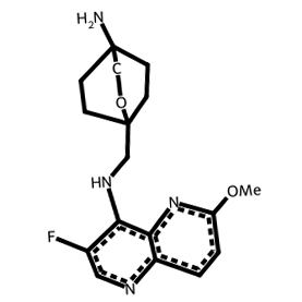 COc1ccc2ncc(F)c(NCC34CCC(N)(CC3)CO4)c2n1